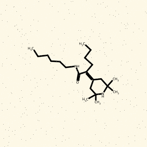 CCCCCCNC(=O)C(CCCC)=C1CC(C)(C)NC(C)(C)C1